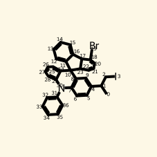 CC(CI)c1ccc2c(c1)C1(c3ccccc3C3C(Br)=CC=CC31)c1ccccc1N2c1ccccc1